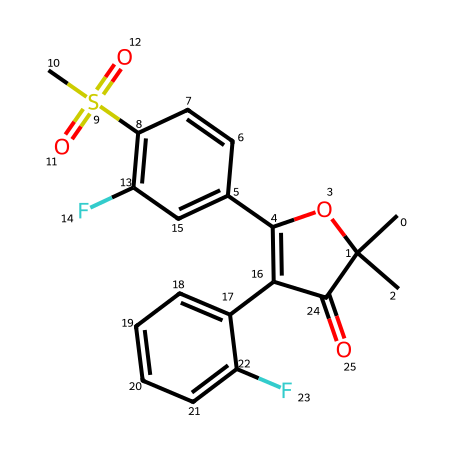 CC1(C)OC(c2ccc(S(C)(=O)=O)c(F)c2)=C(c2ccccc2F)C1=O